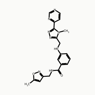 Cc1cc(CNC(=O)c2cccc(NCc3nnc(-c4ccncn4)n3C)c2)no1